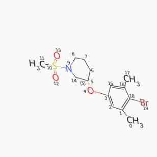 Cc1cc(O[C@H]2CCCN(S(C)(=O)=O)C2)cc(C)c1Br